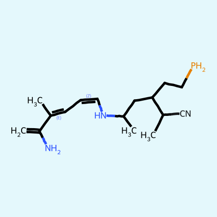 C=C(N)/C(C)=C/C=C\NC(C)CC(CCP)C(C)C#N